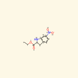 CCOC(=O)C1Cc2ccc([N+](=O)[O-])cc2N1